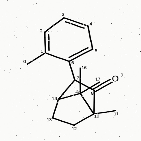 Cc1ccccc1C1C(=O)C2(C)CCC1C2(C)C